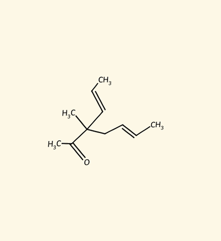 CC=CC(C)(C/C=C/C)C(C)=O